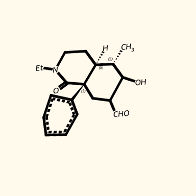 CCN1CC[C@H]2[C@H](C)C(O)C(C=O)C[C@]2(c2ccccc2)C1=O